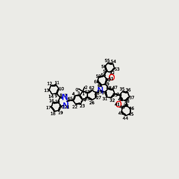 CC1(C)c2cc(-c3nc(C4=CC=CCC4)c4ccccc4n3)ccc2-c2ccc(-n3c4ccc(-c5cccc6c7c(oc56)C=CCC7)cc4c4c5oc6ccccc6c5ccc43)cc21